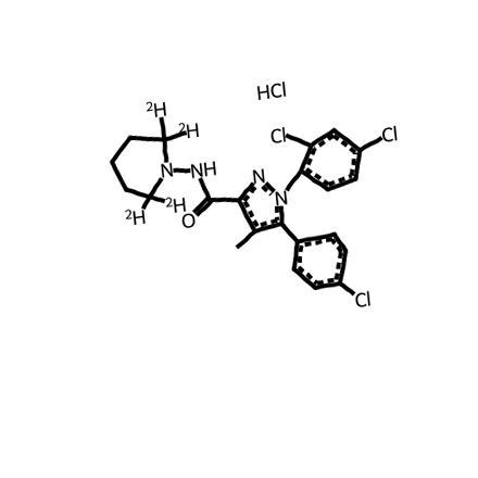 Cl.[2H]C1([2H])CCCC([2H])([2H])N1NC(=O)c1nn(-c2ccc(Cl)cc2Cl)c(-c2ccc(Cl)cc2)c1C